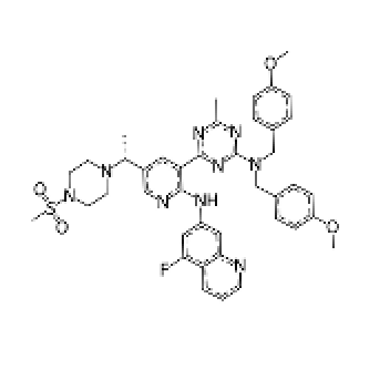 COc1ccc(CN(Cc2ccc(OC)cc2)c2nc(C)nc(-c3cc([C@@H](C)N4CCN(S(C)(=O)=O)CC4)cnc3Nc3cc(F)c4cccnc4c3)n2)cc1